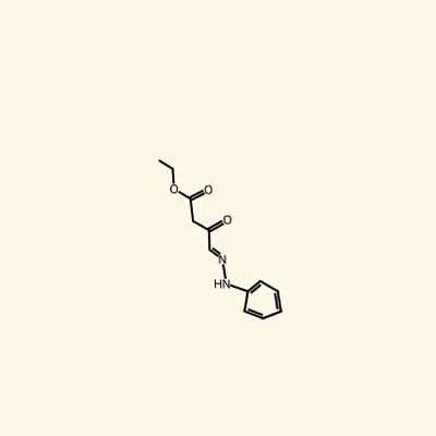 CCOC(=O)CC(=O)C=NNc1ccccc1